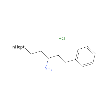 CCCCCCCCCC(N)CCc1ccccc1.Cl